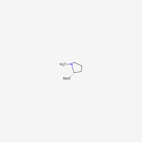 CO[C@H]1CCCN1C